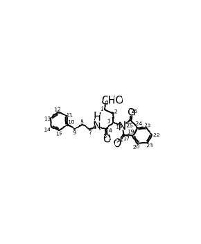 O=CCCC(C(=O)NCCCc1ccccc1)N1C(=O)c2ccccc2C1=O